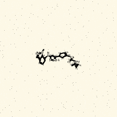 Cn1ncc2cccc(Nc3cc(C4CCC(OC(=O)NC5(C)CC5)C4)[nH]n3)c21